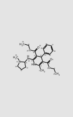 CCOC(=O)C1=C(C)NC(NC2CCCN2C)=C(C(=O)OCC)C1c1ccccc1